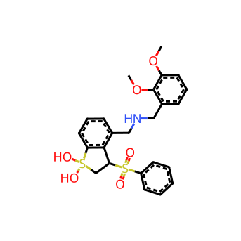 COc1cccc(CNCc2cccc3c2C(S(=O)(=O)c2ccccc2)CS3(O)O)c1OC